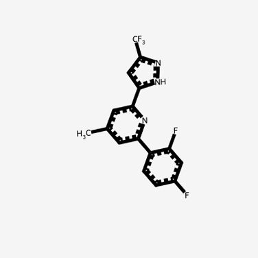 Cc1cc(-c2cc(C(F)(F)F)n[nH]2)nc(-c2ccc(F)cc2F)c1